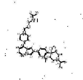 COC1(c2ccc(-c3cc4c(N5CCN(COCNC(C)C)CC5)ccnn4c3)cc2F)CCN(C(C)C)CC1